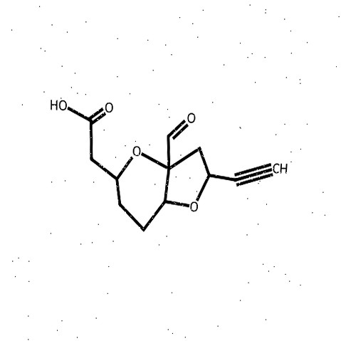 C#CC1CC2(C=O)OC(CC(=O)O)CCC2O1